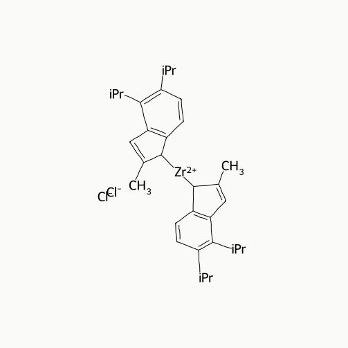 CC1=Cc2c(ccc(C(C)C)c2C(C)C)[CH]1[Zr+2][CH]1C(C)=Cc2c1ccc(C(C)C)c2C(C)C.[Cl-].[Cl-]